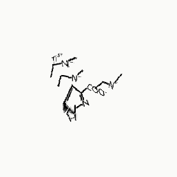 CC[N-]C.CC[N-]C.CC[N-]C.O=C([O-])c1cc[nH]n1.[Ti+4]